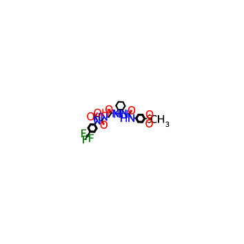 CS(=O)(=O)c1ccc(NC(=O)N[C@@H]2CCCC[C@@H]2NC(=O)CNC(=O)N(C(=O)O)c2ccc(C(F)(F)F)cc2)cc1